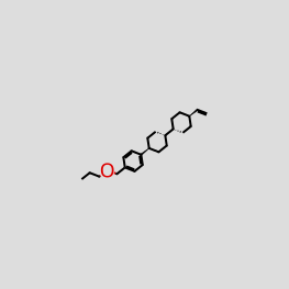 C=C[C@H]1CC[C@H]([C@H]2CC[C@H](c3ccc(COCCC)cc3)CC2)CC1